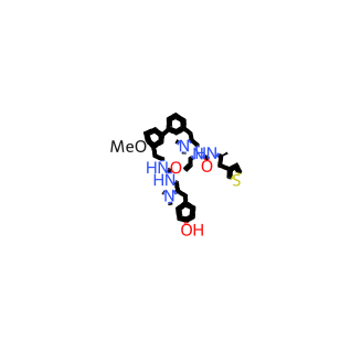 C=CCN(CC(Cc1cccc(-c2ccc(OC)c(CCNC(=O)NCC(Cc3ccc(O)cc3)N(C)C)c2)c1)N(C)C)C(=O)N[C@@H](C)Cc1ccsc1